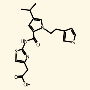 CC(C)c1cc(C(=O)Nc2nc(CC(=O)O)cs2)n(CCc2ccsc2)c1